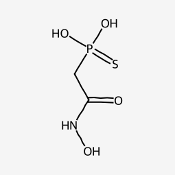 O=C(CP(O)(O)=S)NO